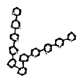 c1ccc(-c2ccc(-c3ccc(-c4ccc(-c5cccc(-c6ccccc6-c6cccc(-c7ccc(-c8ccc(-c9ccc(-c%10ccccn%10)cn9)cn8)cn7)c6)c5)nc4)nc3)nc2)nc1